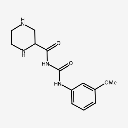 COc1cccc(NC(=O)NC(=O)C2CNCCN2)c1